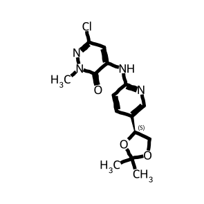 Cn1nc(Cl)cc(Nc2ccc([C@H]3COC(C)(C)O3)cn2)c1=O